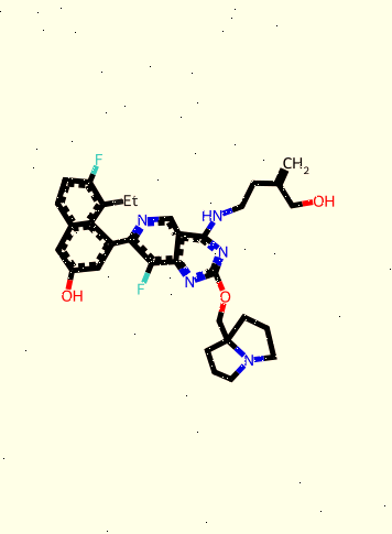 C=C(CO)CCNc1nc(OCC23CCCN2CCC3)nc2c(F)c(-c3cc(O)cc4ccc(F)c(CC)c34)ncc12